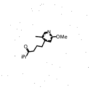 COc1cc(CCCC(=O)C(C)C)c(C)cn1